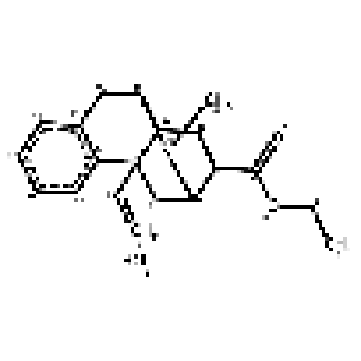 C=CC12CC3C(C(=O)OCC)CC1C(Cc1ccccc12)N3C.Cl